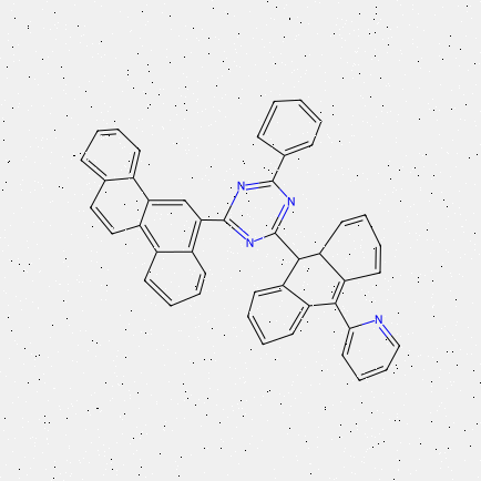 C1=CC2=C(c3ccccn3)c3ccccc3C(c3nc(-c4ccccc4)nc(-c4cc5c6ccccc6ccc5c5ccccc45)n3)C2C=C1